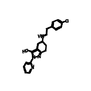 Oc1c2c(nn1-c1ccccn1)CCC(NCCc1ccc(Cl)cc1)C2